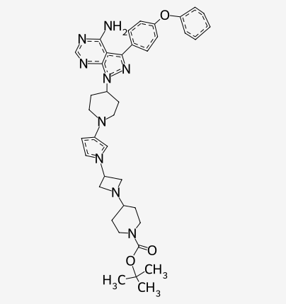 CC(C)(C)OC(=O)N1CCC(N2CC(n3ccc(N4CCC(n5nc(-c6ccc(Oc7ccccc7)cc6)c6c(N)ncnc65)CC4)c3)C2)CC1